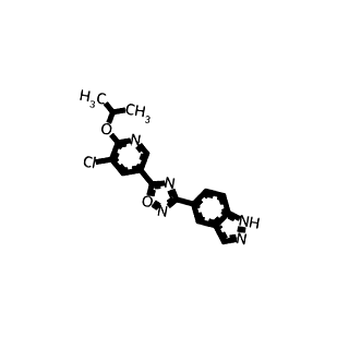 CC(C)Oc1ncc(-c2nc(-c3ccc4[nH]ncc4c3)no2)cc1Cl